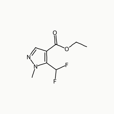 CCOC(=O)c1cnn(C)c1C(F)F